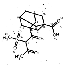 CC(=O)C(C(=O)C12CC3CC(CC(C(=O)O)(C3)C1)C2)S(C)(=O)=O